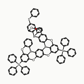 c1ccc(Sc2cc3c4c(c2)Oc2cc5c(cc2B4c2ccccc2O3)B2c3cc4c(cc3Oc3cc([Si](c6ccccc6)(c6ccccc6)c6ccccc6)cc(c32)O5)Oc2cc([Si](c3ccccc3)(c3ccccc3)c3ccccc3)cc3c2B4c2ccccc2O3)cc1